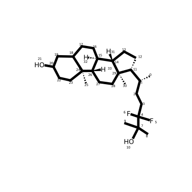 C[C@H](CCC(F)(F)C(C)(C)O)[C@H]1CC[C@H]2[C@@H]3CCC4CC(O)CC[C@]4(C)[C@H]3CC[C@]12C